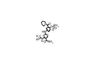 CC(C)C(C)Nc1nc(Nc2ccc(OS(C)(=O)=O)c(C(=O)N3CCCCC3)c2)ncc1C(N)=O